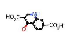 O=C(O)c1ccc2c(=O)c(C(=O)O)c[nH]c2c1